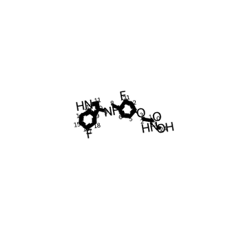 O=C(COc1ccc(CNc2c[nH]c3ccc(F)cc23)c(F)c1)NO